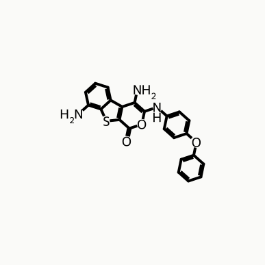 Nc1cccc2c1sc1c(=O)oc(Nc3ccc(Oc4ccccc4)cc3)c(N)c12